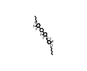 CCCCCCOc1ccc(COc2ccc(C3CCC(c4ccc(OCCCC)c(F)c4F)CC3)c(F)c2F)c(F)c1F